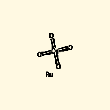 [O]=[Os](=[O])(=[O])=[O].[Ru]